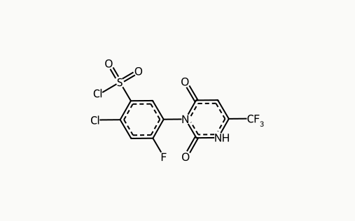 O=c1cc(C(F)(F)F)[nH]c(=O)n1-c1cc(S(=O)(=O)Cl)c(Cl)cc1F